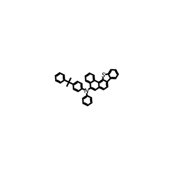 CC(C)(c1ccccc1)c1ccc(N(c2ccccc2)c2cc3ccc4c5ccccc5sc4c3c3ccccc23)cc1